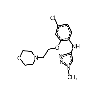 Cn1cc(Nc2ccc(Cl)cc2OCCN2CCOCC2)nn1